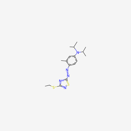 CCSc1nsc(N=Nc2ccc(N(C(C)C)C(C)C)cc2C)n1